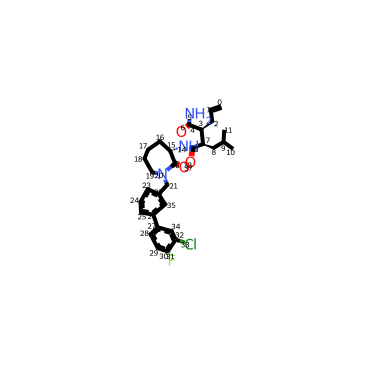 C=CC[C@H](C(N)=O)[C@@H](CC(C)C)C(=O)N[C@H]1CCCCN(Cc2cccc(-c3ccc(F)c(Cl)c3)c2)C1=O